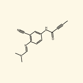 CC#CC(=O)Nc1ccc(N=CN(C)C)c(C#N)c1